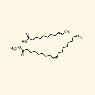 CC=CCCCCCCCC(=O)O.CCCCCCCC/C=C\CCCCCCCC(=O)OC